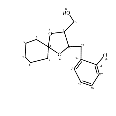 OCC1OC2(CCCCC2)OC1Cc1ccccc1Cl